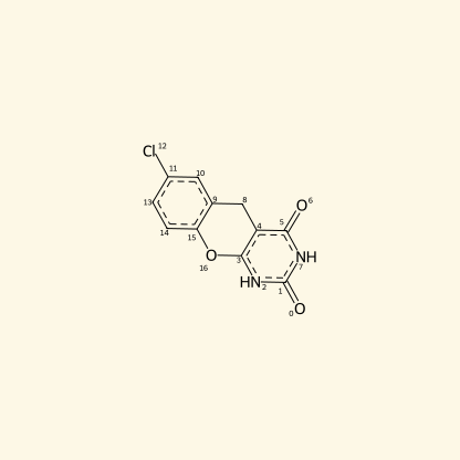 O=c1[nH]c2c(c(=O)[nH]1)Cc1cc(Cl)ccc1O2